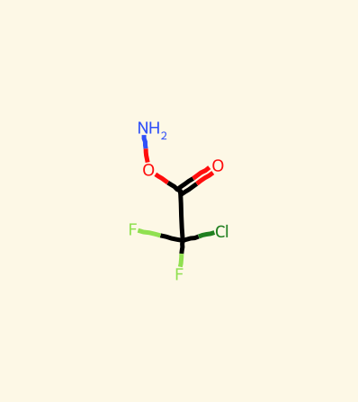 NOC(=O)C(F)(F)Cl